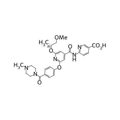 COC[C@@H](C)Oc1cc(C(=O)Nc2ccc(C(=O)O)cn2)cc(Oc2ccc(C(=O)N3CCN(C)CC3)cc2)n1